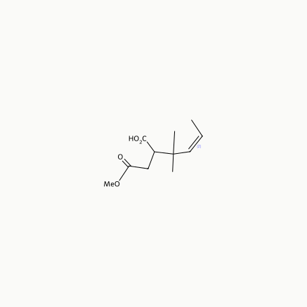 C/C=C\C(C)(C)C(CC(=O)OC)C(=O)O